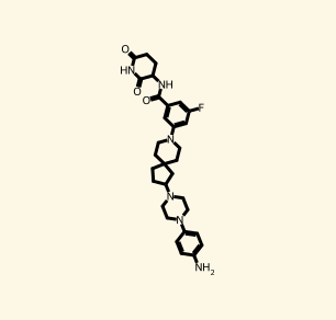 Nc1ccc(N2CCN(C3CCC4(CCN(c5cc(F)cc(C(=O)NC6CCC(=O)NC6=O)c5)CC4)C3)CC2)cc1